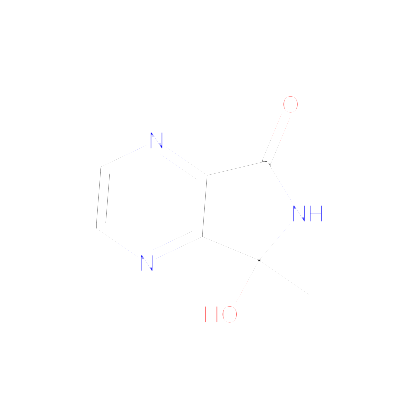 CC1(O)NC(=O)c2nccnc21